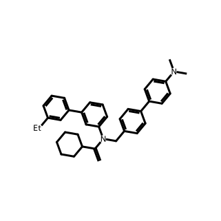 C=C(C1CCCCC1)N(Cc1ccc(-c2ccc(N(C)C)cc2)cc1)c1cccc(-c2cccc(CC)c2)c1